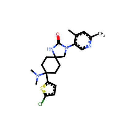 Cc1cc(C(F)(F)F)ncc1N1CC2(CCC(c3ccc(Cl)s3)(N(C)C)CC2)NC1=O